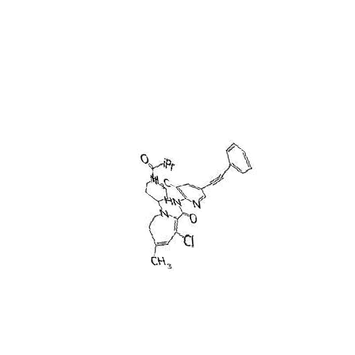 CC1=CC(Cl)=C(C(=O)Nc2ncc(C#Cc3ccccc3)cc2C)N(C2CCN(C(=O)C(C)C)CC2)CC1